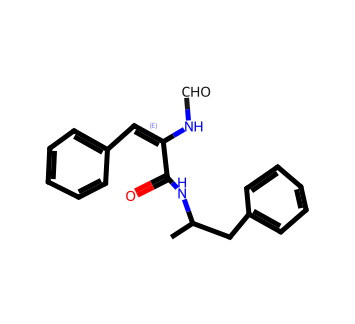 CC(Cc1ccccc1)NC(=O)/C(=C\c1ccccc1)NC=O